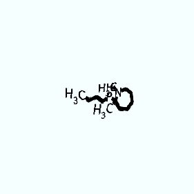 CCCCPC1(C)CCCCCN1C